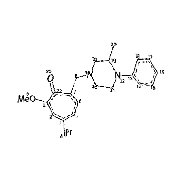 COc1cc(C(C)C)ccc(CN2CCN(c3ccccc3)C(C)C2)c1=O